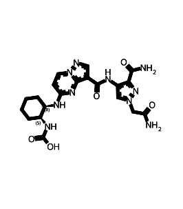 NC(=O)Cn1cc(NC(=O)c2cnn3ccc(N[C@@H]4CCCC[C@@H]4NC(=O)O)nc23)c(C(N)=O)n1